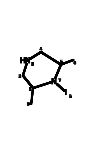 CC1CNCC(C)N1I